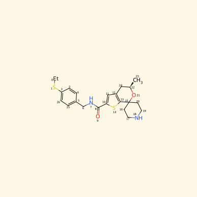 CCSc1ccc(CNC(=O)c2cc3c(s2)C2(CCNCC2)O[C@H](C)C3)cc1